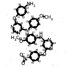 COc1ccc(Nc2cc(Oc3ccc(N)cc3)ncn2)cc1.COc1ccc(Nc2cc(Oc3ccc([N+](=O)[O-])cc3)ncn2)cc1